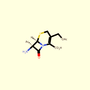 CC(=O)OCC1=C(C(=O)O)N2C(=O)[C@](N)(C(C)=O)[C@H]2SC1